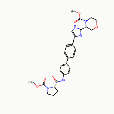 CC(C)(C)OC(=O)N1CCC[C@H]1C(=O)Nc1ccc(-c2ccc(-c3c[nH]c([C@@H]4COCCN4C(=O)OC(C)(C)C)n3)cc2)cc1